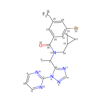 CC(c1ncnn1-c1ncccn1)N(CC1CC1)C(=O)c1cc(Br)cc(C(F)(F)F)c1